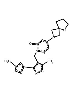 Cc1cc(-c2noc(C)c2Cn2ncc(N3CC4(CCCO4)C3)cc2=O)no1